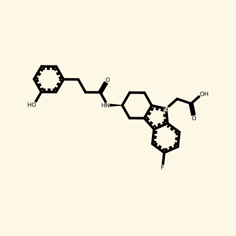 O=C(O)Cn1c2c(c3cc(F)ccc31)C[C@@H](NC(=O)CCc1cccc(O)c1)CC2